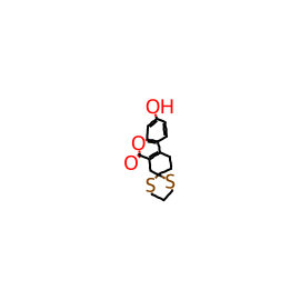 O=c1oc2cc(O)ccc2c2c1CC1(CC2)SCCCS1